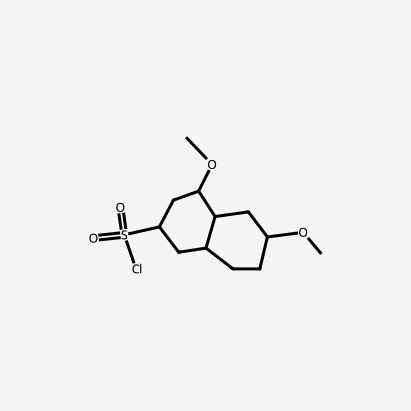 COC1CCC2CC(S(=O)(=O)Cl)CC(OC)C2C1